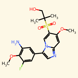 COc1cc2ncc(-c3cc(N)c(OC)c(F)c3)n2cc1S(=O)(=O)C(C)(C)CO